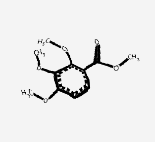 COC(=O)c1ccc(OC)c(OC)c1OC